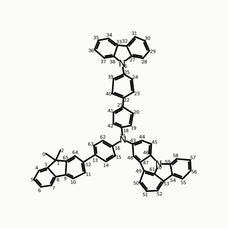 CC1(C)c2ccccc2-c2ccc(-c3ccc(N(c4ccc(-c5ccc(-n6c7ccccc7c7ccccc76)cc5)cc4)c4ccc5c(c4)c4cccc6c7ccccc7n5c64)cc3)cc21